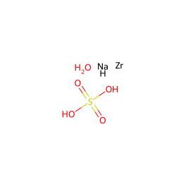 O.O=S(=O)(O)O.[NaH].[Zr]